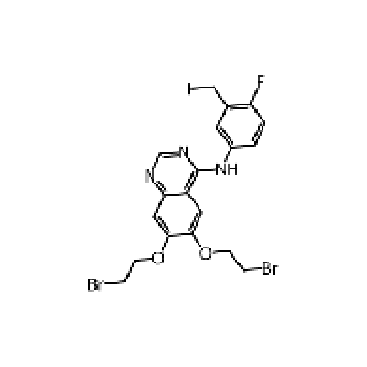 Fc1ccc(Nc2ncnc3cc(OCCBr)c(OCCBr)cc23)cc1CI